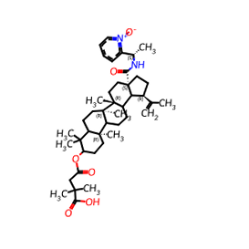 C=C(C)[C@@H]1CC[C@]2(C(=O)N[C@@H](C)c3cccc[n+]3[O-])CC[C@]3(C)C(CCC4[C@@]5(C)CCC(OC(=O)CC(C)(C)C(=O)O)C(C)(C)C5CC[C@]43C)C12